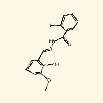 COc1cccc(C=NNC(=O)c2ccccc2I)c1O